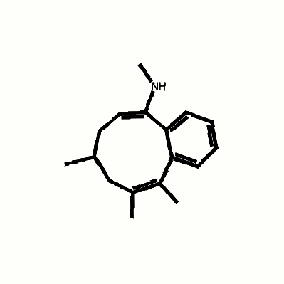 CN/C1=C/CC(C)C/C(C)=C(/C)c2ccccc21